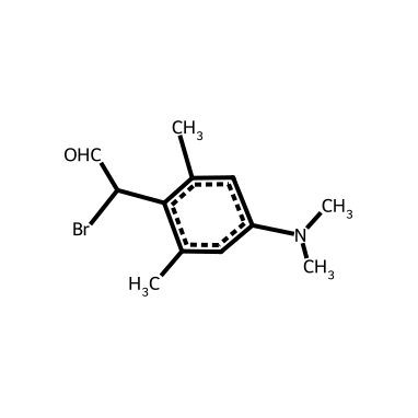 Cc1cc(N(C)C)cc(C)c1C(Br)C=O